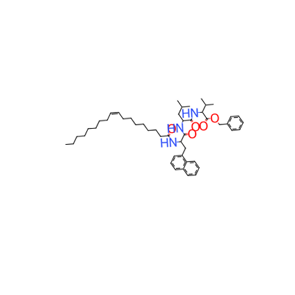 CCCCCCCC/C=C\CCCCCCCC(=O)NC(Cc1cccc2ccccc12)C(=O)NC(CC(C)C)C(=O)NC(C(=O)OCc1ccccc1)C(C)C